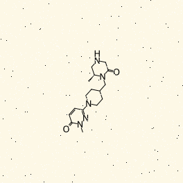 C[C@H]1CNCC(=O)N1CC1CCN(c2ccc(=O)n(C)n2)CC1